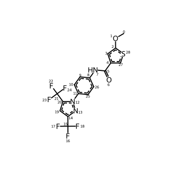 COc1cc(C(=O)Nc2ccc(-n3nc(C(F)(F)F)cc3C(F)(F)F)cc2)cs1